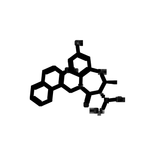 COc1ccc2ccccc2c1CN1C(=O)[C@@H](N(C(=O)O)C(C)(C)C)[C@H](C)Nc2cc(C#N)ccc21